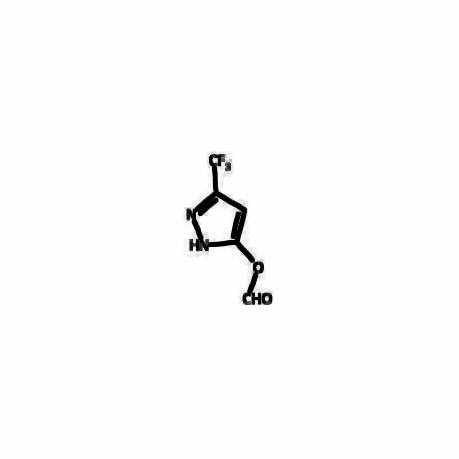 O=COc1cc(C(F)(F)F)n[nH]1